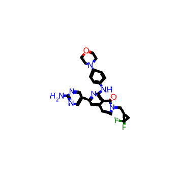 Nc1ncc(-c2cc3ccn(CC4CC4(F)F)c(=O)c3c(Nc3ccc(N4CCOCC4)cc3)n2)cn1